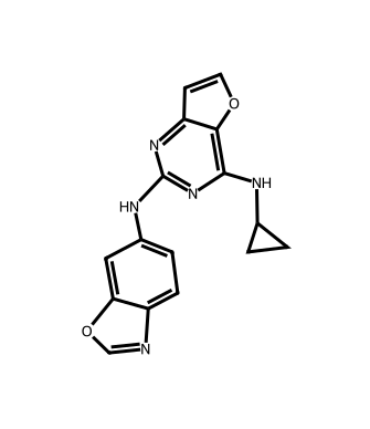 c1nc2ccc(Nc3nc(NC4CC4)c4occc4n3)cc2o1